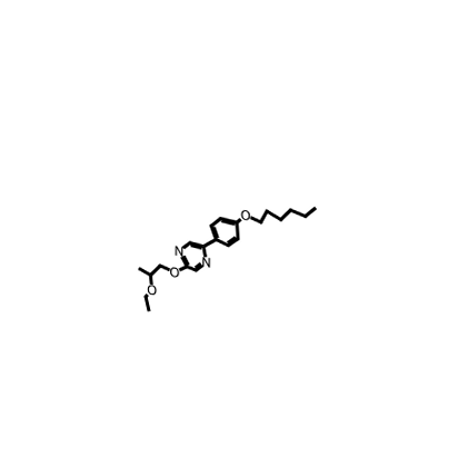 CCCCCCOc1ccc(-c2cnc(OCC(C)OCC)cn2)cc1